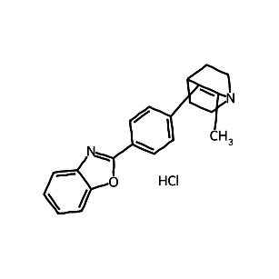 CC1=C(c2ccc(-c3nc4ccccc4o3)cc2)C2CCN1CC2.Cl